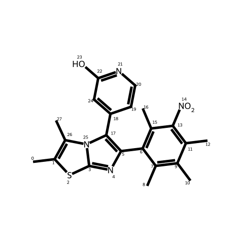 Cc1sc2nc(-c3c(C)c(C)c(C)c([N+](=O)[O-])c3C)c(-c3ccnc(O)c3)n2c1C